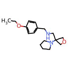 CCOc1ccc(CNCC2(N3CCCC3)COC2)cc1